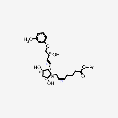 Cc1cccc(OC[C@H](O)/C=C/[C@@H]2[C@@H](C/C=C\CCCC(=O)OC(C)C)[C@@H](O)C[C@H]2O)c1